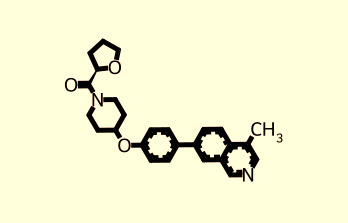 Cc1cncc2cc(-c3ccc(OC4CCN(C(=O)[C@H]5CCCO5)CC4)cc3)ccc12